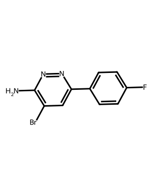 Nc1nnc(-c2ccc(F)cc2)cc1Br